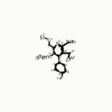 CCCCCc1c(COCC)nc(C(C)C)c(CO)c1-c1ccc(F)cc1